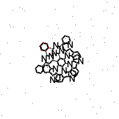 c1ccc(-c2cc(-c3c(-c4nc(-c5ccccc5)nc(-c5ccccc5)n4)c(-n4c5ccccc5c5ncccc54)c(-n4c5ccccc5c5ncccc54)c(-n4c5ccccc5c5ncccc54)c3-n3c4ccccc4c4ncccc43)nc(-c3ccccc3)n2)cc1